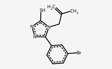 C=C(C)Cn1c(S)nnc1-c1cccc(Br)c1